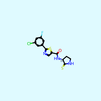 O=C(N[C@H]1CCNC1=S)c1cnc(-c2cc(F)cc(Cl)c2)s1